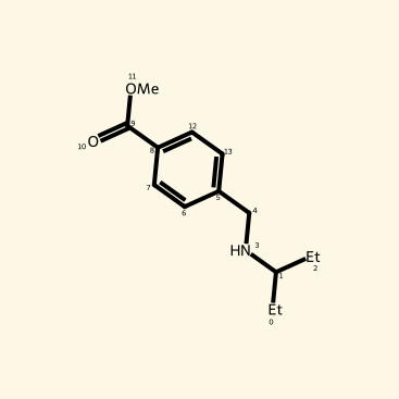 CCC(CC)NCc1ccc(C(=O)OC)cc1